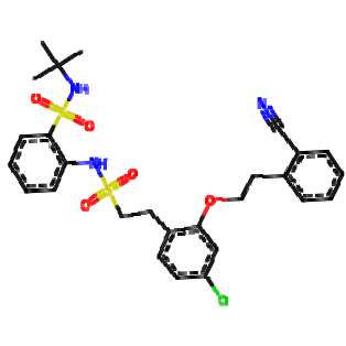 CC(C)(C)NS(=O)(=O)c1ccccc1NS(=O)(=O)CCc1ccc(Cl)cc1OCCc1ccccc1C#N